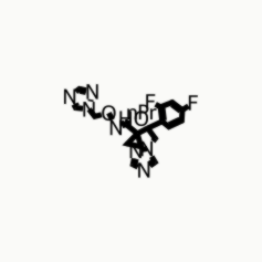 CCC/C(=N\OCn1cncn1)C1(C(O)(Cn2cncn2)c2ccc(F)cc2F)CC1